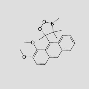 COc1ccc2cc3ccccc3c(C3(C)OOB(C)C3(C)C)c2c1OC